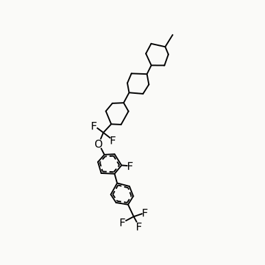 CC1CCC(C2CCC(C3CCC(C(F)(F)Oc4ccc(-c5ccc(C(F)(F)F)cc5)c(F)c4)CC3)CC2)CC1